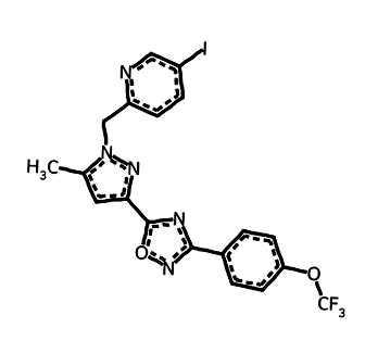 Cc1cc(-c2nc(-c3ccc(OC(F)(F)F)cc3)no2)nn1Cc1ccc(I)cn1